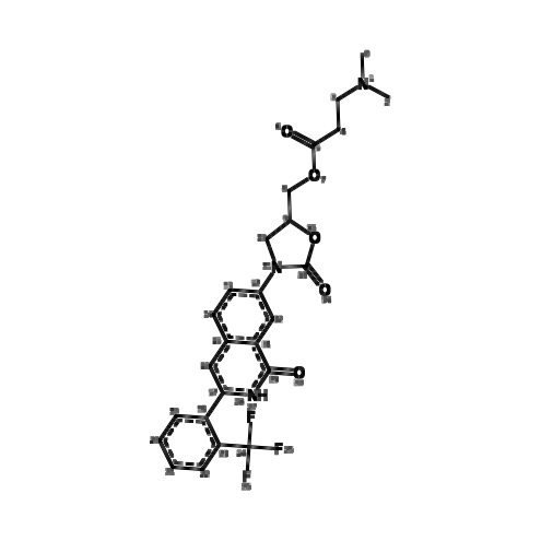 CN(C)CCC(=O)OCC1CN(c2ccc3cc(-c4ccccc4C(F)(F)F)[nH]c(=O)c3c2)C(=O)O1